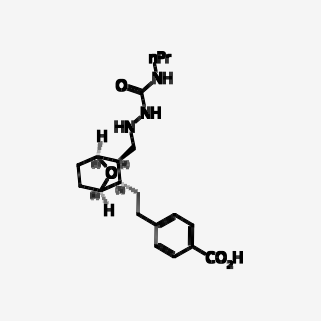 CCCNC(=O)NNC[C@H]1[C@H](CCc2ccc(C(=O)O)cc2)[C@H]2CC[C@@H]1O2